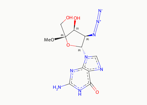 CO[C@]1(CO)O[C@@H](n2cnc3c(=O)[nH]c(N)nc32)[C@H](N=[N+]=[N-])[C@@H]1O